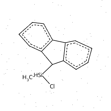 C[SiH](Cl)C1c2ccccc2-c2ccccc21